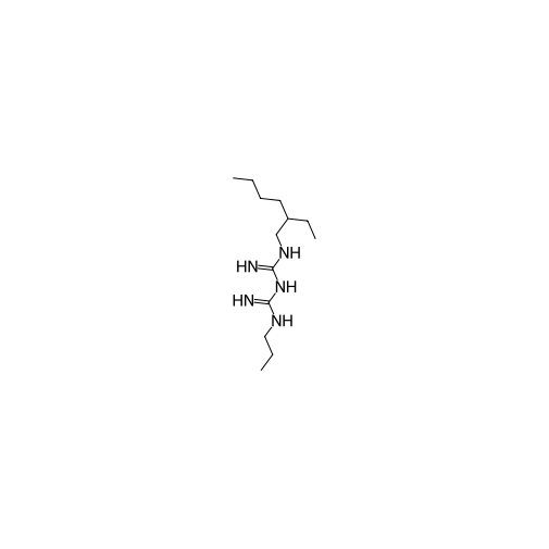 CCCCC(CC)CNC(=N)NC(=N)NCCC